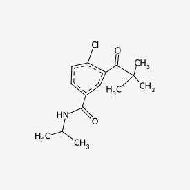 CC(C)NC(=O)c1ccc(Cl)c(C(=O)C(C)(C)C)c1